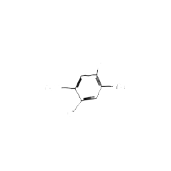 CCCCc1cc(Cl)c(C=O)cc1Cl